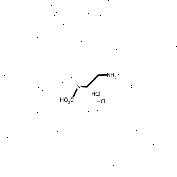 Cl.Cl.NCCNC(=O)O